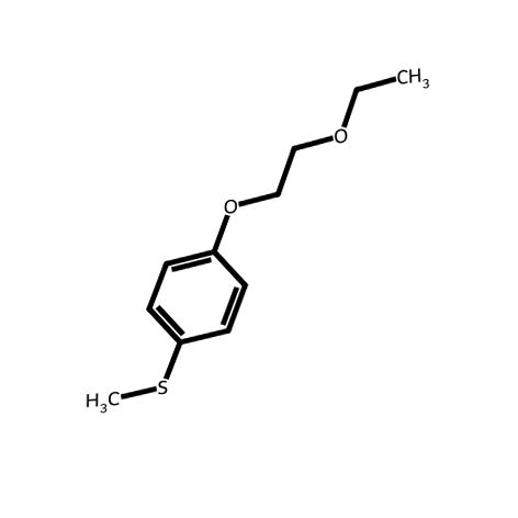 CCOCCOc1ccc(SC)cc1